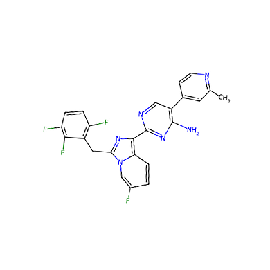 Cc1cc(-c2cnc(-c3nc(Cc4c(F)ccc(F)c4F)n4cc(F)ccc34)nc2N)ccn1